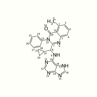 Cc1cccc2nc(C(Nc3ncnc4nc[nH]c34)C3CC3)n(-c3ccccc3)c(=O)c12